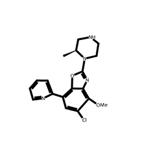 COc1c(Cl)cc(-c2ccccn2)c2oc(N3CCNC[C@@H]3C)nc12